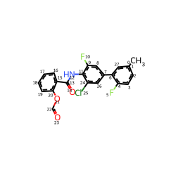 Cc1ccc(F)c(-c2cc(F)c(NC(=O)c3ccccc3OC=O)c(Cl)c2)c1